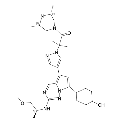 COC[C@H](C)Nc1ncc2c(-c3cnn(C(C)(C)C(=O)N4C[C@@H](C)N[C@@H](C)C4)c3)cc(C3CCC(O)CC3)n2n1